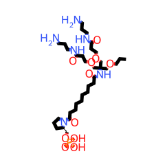 CCCOCC(COCCC(=O)NCCCN)(COCCC(=O)NCCCN)NC(=O)CCCCCCCCC(=O)N1CCC[C@H]1COP(=O)(O)O